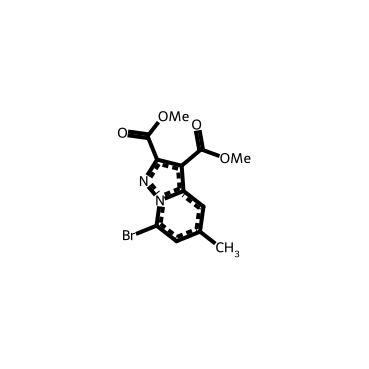 COC(=O)c1nn2c(Br)cc(C)cc2c1C(=O)OC